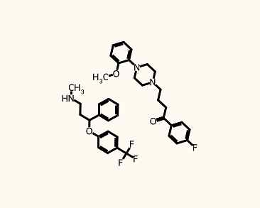 CNCCC(Oc1ccc(C(F)(F)F)cc1)c1ccccc1.COc1ccccc1N1CCN(CCCC(=O)c2ccc(F)cc2)CC1